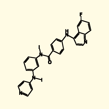 O=C(c1ccc(Nc2ccnc3ccc(F)cc23)cc1)N(I)c1cccc(N(I)c2ccncc2)c1